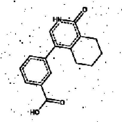 O=C(O)c1cccc(-c2c[nH]c(=O)c3c2CCCC3)c1